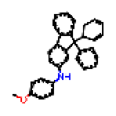 COc1ccc(Nc2ccc3c(c2)C(c2ccccc2)(C2C=CC=CC2)c2ccccc2-3)cc1